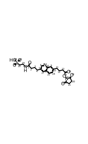 O=C(CCCc1cnc2cc(CCCC(=O)ON3C(=O)CCC3=O)ccc2c1)NCCS(=O)(=O)O